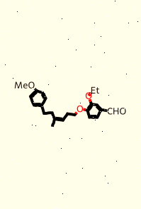 CCOc1cc(C=O)ccc1OCCC=C(C)CCc1ccc(OC)cc1